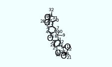 C=C(c1ccc2c(c1)C(C)(C)c1cc(C(=O)C3(OC)OC3(C)C)ccc1O2)C1(OC)OC1(C)C